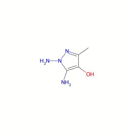 Cc1nn(N)c(N)c1O